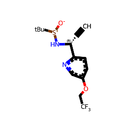 C#C[C@@H](N[S+]([O-])C(C)(C)C)c1ccc(OCC(F)(F)F)cn1